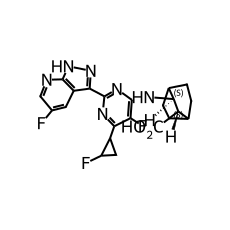 O=C(O)[C@H]1C2CCC(CC2)[C@@H]1Nc1nc(-c2n[nH]c3ncc(F)cc23)nc(C2CC2F)c1F